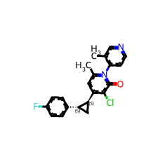 Cc1cnccc1-n1c(C)cc([C@H]2C[C@@H]2c2ccc(F)cc2)c(Cl)c1=O